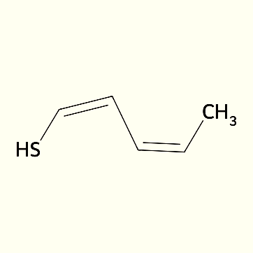 C/C=C\C=C/S